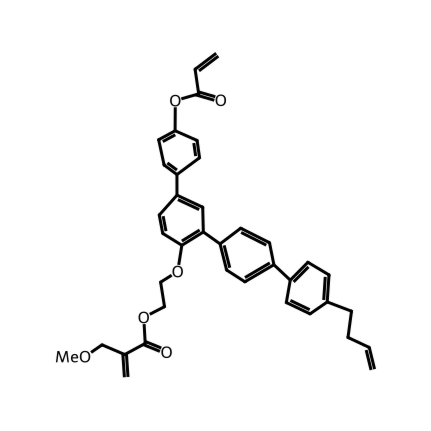 C=CCCc1ccc(-c2ccc(-c3cc(-c4ccc(OC(=O)C=C)cc4)ccc3OCCOC(=O)C(=C)COC)cc2)cc1